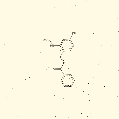 CCOC(=O)Nc1cc(O)ccc1C=CC(=O)c1cccnc1